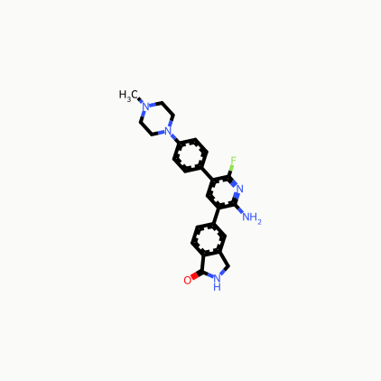 CN1CCN(c2ccc(-c3cc(-c4ccc5c(c4)CNC5=O)c(N)nc3F)cc2)CC1